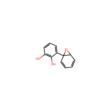 Oc1cccc(C23C=CC=CC2O3)c1O